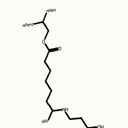 CCCCCCC(CCCCC)COC(=O)CCCCCC(CCC)NCCCO